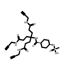 C#CCNC(=O)CCC(CCC(=O)NCC#C)(CCC(=O)NCC#C)NC(=O)[C@H]1CC[C@@H](OP(C)(=O)O)CC1